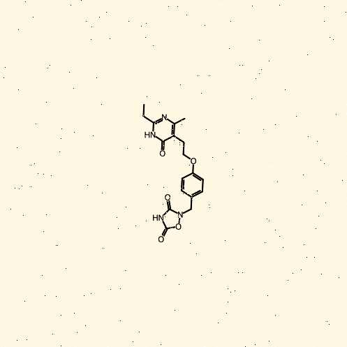 CCc1nc(C)c(CCOc2ccc(Cn3oc(=O)[nH]c3=O)cc2)c(=O)[nH]1